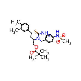 Cc1ccc(CCC(COC(=O)C(C)(C)C)N(Cc2ccc(NS(C)(=O)=O)cc2)C(N)=S)cc1C